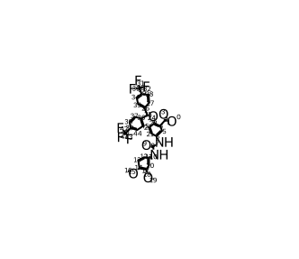 COC(=O)c1cc(NC(=O)Nc2ccc(OC)c(OC)c2)ccc1OC(c1ccc(C(F)(F)F)cc1)c1ccc(C(F)(F)F)cc1